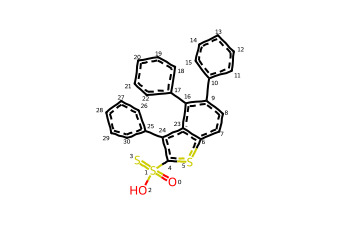 O=S(O)(=S)c1sc2ccc(-c3ccccc3)c(-c3ccccc3)c2c1-c1ccccc1